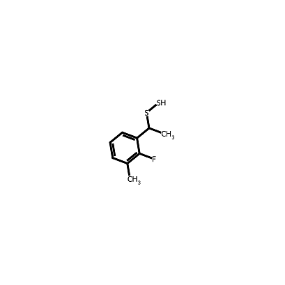 Cc1cccc(C(C)SS)c1F